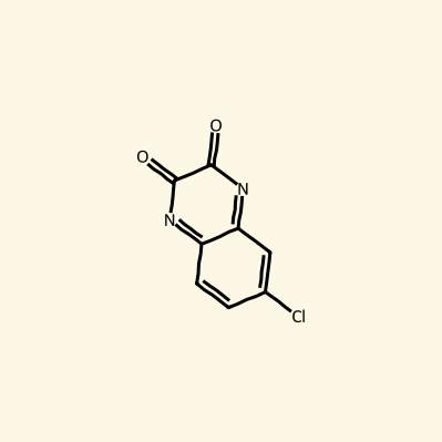 O=C1N=c2ccc(Cl)cc2=NC1=O